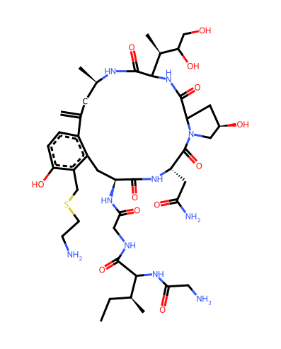 C=C1C[C@@H](C)NC(=O)C([C@@H](C)C(O)CO)NC(=O)C2C[C@@H](O)CN2C(=O)[C@H](CC(N)=O)NC(=O)[C@@H](NC(=O)CNC(=O)C(NC(=O)CN)[C@@H](C)CC)Cc2c1ccc(O)c2CSCCN